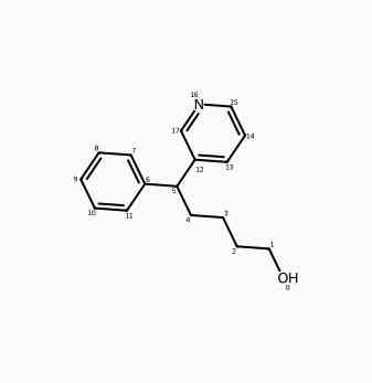 OCCCCC(c1ccccc1)c1cccnc1